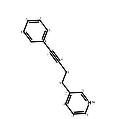 C(#Cc1ccccc1)C[CH]c1cccnc1